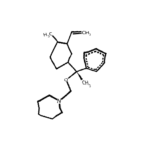 C=CC1CC([C@@](C)(OCN2CCCCC2)c2ccccc2)CCC1C